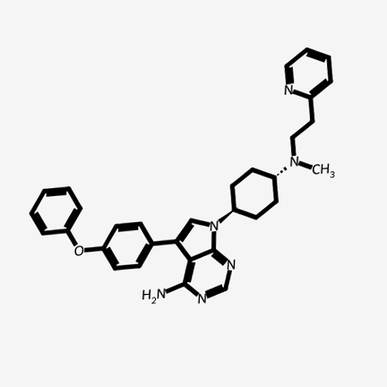 CN(CCc1ccccn1)[C@H]1CC[C@H](n2cc(-c3ccc(Oc4ccccc4)cc3)c3c(N)ncnc32)CC1